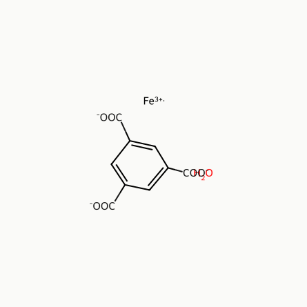 O.O=C([O-])c1cc(C(=O)[O-])cc(C(=O)[O-])c1.[Fe+3]